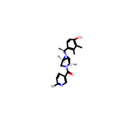 CCc1ccc(C(=O)N2C[C@@H]3C[C@H]2CN3[C@@H](C)c2ccc(O)c(C)c2C)cn1